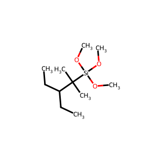 CCC(CC)C(C)(C)[Si](OC)(OC)OC